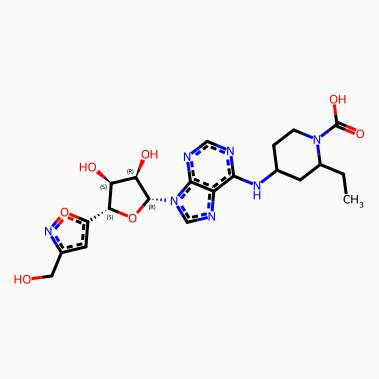 CCC1CC(Nc2ncnc3c2ncn3[C@@H]2O[C@H](c3cc(CO)no3)[C@@H](O)[C@H]2O)CCN1C(=O)O